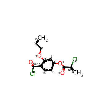 C=CCOc1cc(OC(=O)C(=C)Cl)ccc1C(=O)Cl